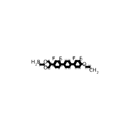 BCC1OCC(c2ccc(-c3ccc(-c4ccc(OCC=C)c(F)c4F)cc3)c(F)c2F)CO1